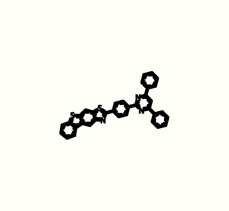 c1ccc(-c2cc(-c3ccccc3)nc(-c3ccc(-c4nc5cc6c(cc5s4)sc4ccccc46)cc3)n2)cc1